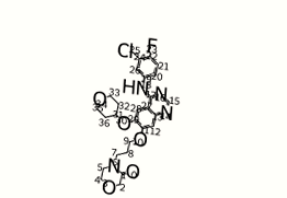 O=C1COCCN1CCCOc1cc2ncnc(Nc3ccc(F)c(Cl)c3)c2cc1OC1CCOCC1